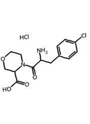 Cl.NC(Cc1ccc(Cl)cc1)C(=O)N1CCOCC1C(=O)O